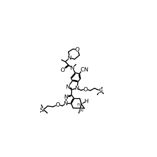 CC(C(=O)N(C)c1cc2nc(-c3nn(COCC[Si](C)(C)C)c4c3C[C@@H]3C[C@]3(C)C4)n(COCC[Si](C)(C)C)c2cc1C#N)N1CCOCC1